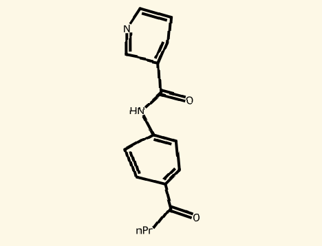 CCCC(=O)c1ccc(NC(=O)c2cccnc2)cc1